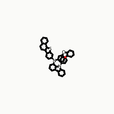 c1ccc(-n2c3ccccc3c3cccc(N(c4ccc5c(c4)oc4ccccc45)c4ccc5c(c4)sc4c6ccccc6ccc54)c32)cc1